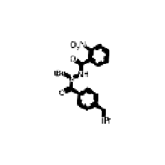 CC(C)Cc1ccc(C(=O)N(NC(=O)c2ccccc2[N+](=O)[O-])C(C)(C)C)cc1